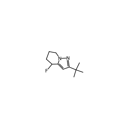 CC(C)(C)c1cc2n(n1)CCCC2F